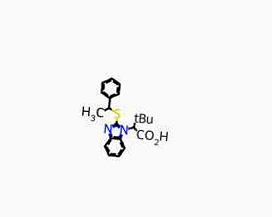 CC(Sc1nc2ccccc2n1C(C(=O)O)C(C)(C)C)c1ccccc1